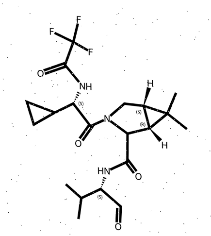 CC(C)[C@@H](C=O)NC(=O)C1[C@@H]2[C@H](CN1C(=O)[C@@H](NC(=O)C(F)(F)F)C1CC1)C2(C)C